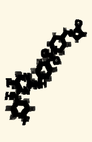 O=C1CCN1CC1CCN(S(=O)(=O)c2ccc(Nc3ncc(F)c(Nc4ccc(F)cc4)n3)cc2)CC1